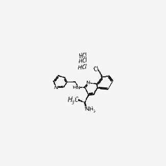 C[C@H](N)c1cc2cccc(Cl)c2nc1NCc1cccnc1.Cl.Cl.Cl